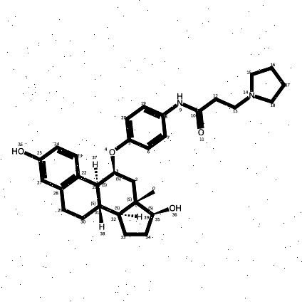 C[C@]12C[C@H](Oc3ccc(NC(=O)CCN4CCCC4)cc3)[C@@H]3c4ccc(O)cc4CC[C@H]3[C@@H]1CC[C@@H]2O